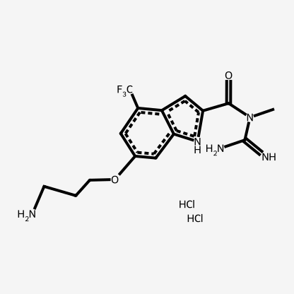 CN(C(=N)N)C(=O)c1cc2c(C(F)(F)F)cc(OCCCN)cc2[nH]1.Cl.Cl